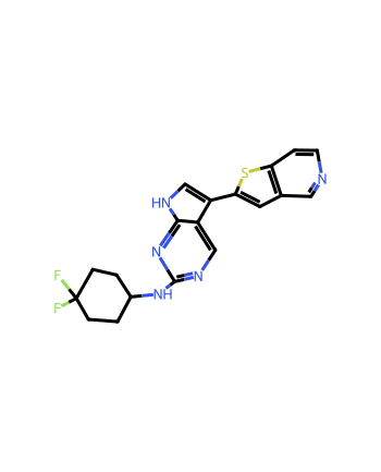 FC1(F)CCC(Nc2ncc3c(-c4cc5cnccc5s4)c[nH]c3n2)CC1